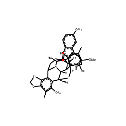 CCN1CC2(O)Cc3cc(C)c(OC)c(O)c3[C@H]1[C@@H]1[C@@H]3SC[C@@]4(NCCc5c4[nH]c4ccc(OC)cc54)C(=O)OCC(c4c5c(c(C)c(OC(C)=O)c43)OCO5)N12